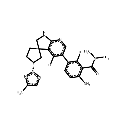 Cc1cnn([C@@H]2CC[C@]3(CNc4ncc(-c5ccc(N)c(C(=O)N(C)C)c5F)c(Cl)c43)C2)n1